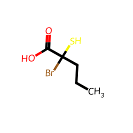 CCCC(S)(Br)C(=O)O